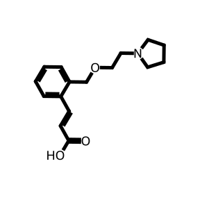 O=C(O)/C=C/c1ccccc1COCCN1CCCC1